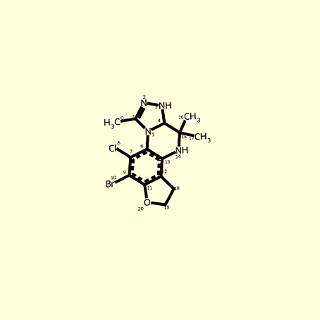 CC1=NNC2N1c1c(Cl)c(Br)c3c(c1NC2(C)C)CCO3